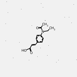 CCN(C(C)=O)c1ccc(/C=C/C(=O)O)cc1